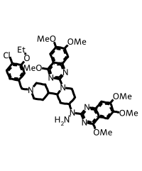 CCOc1cc(CN2CCC(C3CC(N(N)c4nc(OC)c5cc(OC)c(OC)cc5n4)CCN3c3nc(OC)c4cc(OC)c(OC)cc4n3)CC2)ccc1Cl